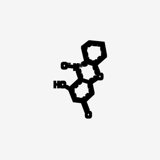 O=c1cc2oc3ccccc3[n+]([O-])c-2c(O)c1